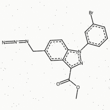 COC(=O)c1nn(-c2cccc(Br)c2)c2ccc(CN=[N+]=[N-])cc12